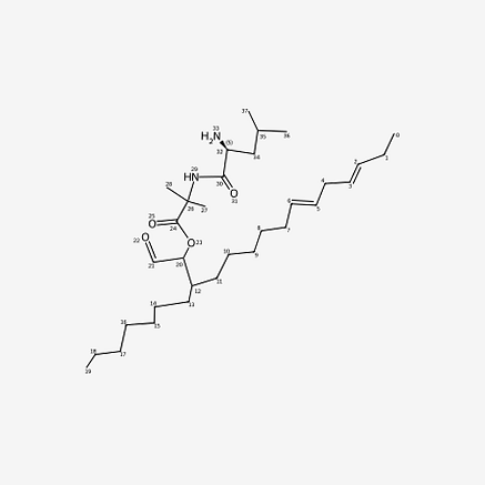 CCC=CCC=CCCCCCC(CCCCCCC)C(C=O)OC(=O)C(C)(C)NC(=O)[C@@H](N)CC(C)C